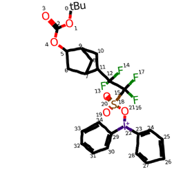 CC(C)(C)OC(=O)OC1CC2CC1CC2C(F)(F)C(F)(F)S(=O)(=O)O[I+](c1ccccc1)c1ccccc1